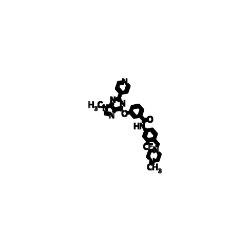 CN1CCN(Cc2ccc(NC(=O)c3cccc(Oc4nc(-c5ccncc5)nc5c4ncn5C)c3)cc2C(F)(F)F)CC1